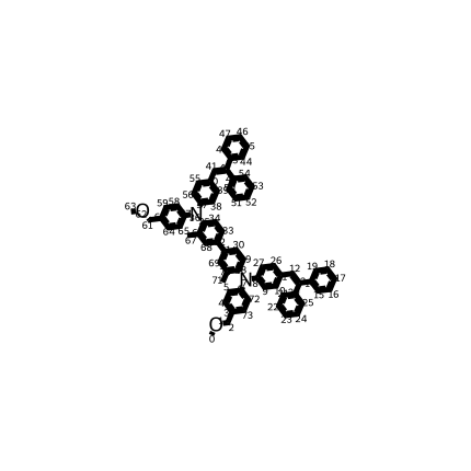 COCc1ccc(N(c2ccc(C=C(c3ccccc3)c3ccccc3)cc2)c2ccc(-c3ccc(N(c4ccc(C=C(c5ccccc5)c5ccccc5)cc4)c4ccc(COC)cc4)c(C)c3)cc2C)cc1